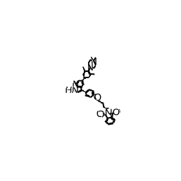 Cc1cc(-c2cnc3[nH]cc(-c4ccc(OCCCCN5C(=O)c6ccccc6C5=O)cc4)c3c2)cc(C)c1N1CCN(C)CC1